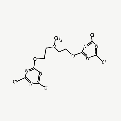 CN(CCOc1nc(Cl)nc(Cl)n1)CCOc1nc(Cl)nc(Cl)n1